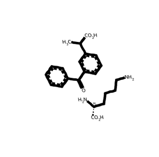 CC(C(=O)O)c1cccc(C(=O)c2ccccc2)c1.NCCCC[C@@H](N)C(=O)O